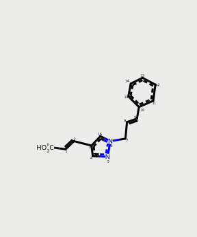 O=C(O)/C=C/c1cnn(CC=Cc2ccccc2)c1